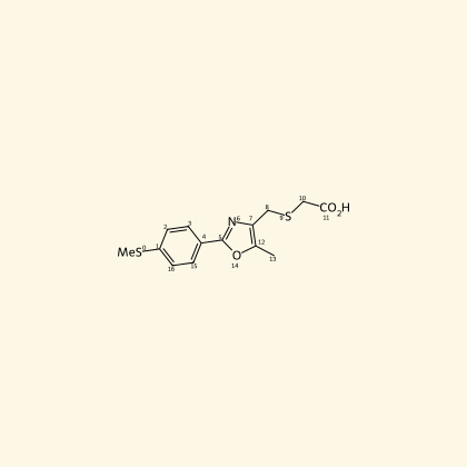 CSc1ccc(-c2nc(CSCC(=O)O)c(C)o2)cc1